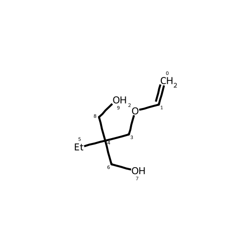 C=COCC(CC)(CO)CO